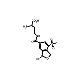 CS(=O)(=O)c1cc(C(=O)NCCC(N)C(=O)O)cc2c1COB2O